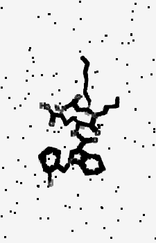 CCCCCC[C@@H](CC(N)=O)N(CCCC)C(=O)[C@H](CCCC(=O)O)NC(=O)c1cn(Cc2ccccc2Cl)c2ccccc12